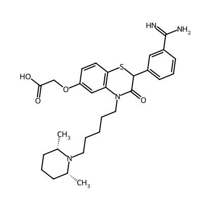 C[C@@H]1CCC[C@H](C)N1CCCCCN1C(=O)C(c2cccc(C(=N)N)c2)Sc2ccc(OCC(=O)O)cc21